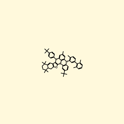 Cc1cc2c3c(c1)N(c1ccc(C(C)(C)C)cc1)c1c(oc4c1C=C1C(C4)C(C)(C)CCC1(C)C)B3c1cc(C(C)(C)C)ccc1N2c1cc(-c2c(C)cccc2C)ccc1C